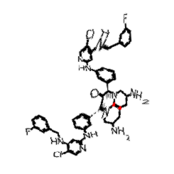 NC1CCCN([C@@H](C(=O)[C@@H](c2cccc(Nc3cc(NCc4cccc(F)c4)c(Cl)cn3)c2)N2CCCC(N)C2)c2cccc(Nc3cc(NCc4cccc(F)c4)c(Cl)cn3)c2)C1